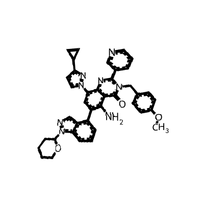 COc1ccc(Cn2c(-c3cccnc3)nc3c(-n4ccc(C5CC5)n4)cc(-c4cccc5c4cnn5C4CCCCO4)c(N)c3c2=O)cc1